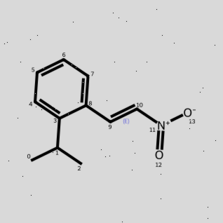 CC(C)c1ccccc1/C=C/[N+](=O)[O-]